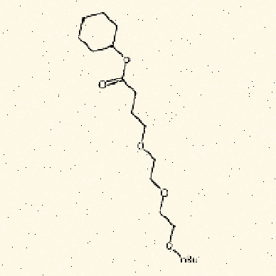 CCCCOCCOCCOCCCC(=O)OC1CCCCC1